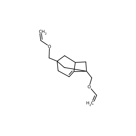 C=COCC12CC=C3C(C1)CC3(COC=C)C2